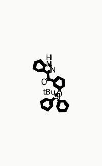 CC(C)(C)[Si](Oc1cccc(C(=O)c2n[nH]c3ccccc23)c1)(c1ccccc1)c1ccccc1